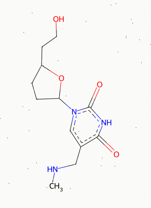 CNCc1cn(C2CCC(CCO)O2)c(=O)[nH]c1=O